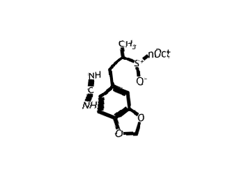 CCCCCCCC[S+]([O-])C(C)Cc1ccc2c(c1)OCO2.N=C=N